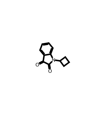 O=C1C(=O)N(C2CCC2)c2ccccc21